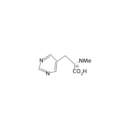 CN[C@@H](Cc1cncnc1)C(=O)O